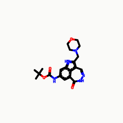 CC(C)(C)OC(=O)Nc1cc2c3c(c(CN4CCOCC4)[nH]c3c1)C=NNC2=O